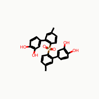 Cc1ccc(S(=O)(=O)c2ccc(C)cc2-c2ccc(O)c(O)c2)c(-c2ccc(O)c(O)c2)c1